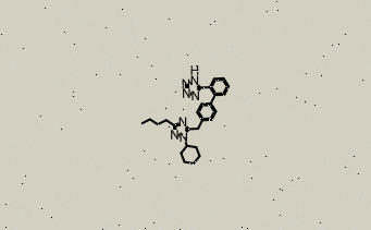 CCCCc1nc(Cc2ccc(-c3ccccc3-c3nnn[nH]3)cc2)n(C2CCCCC2)n1